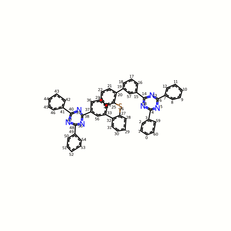 c1ccc(-c2nc(-c3ccccc3)nc(-c3cccc(-c4ccccc4Sc4ccccc4-c4cccc(-c5nc(-c6ccccc6)nc(-c6ccccc6)n5)c4)c3)n2)cc1